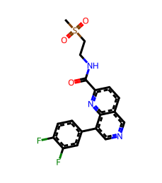 CS(=O)(=O)CCNC(=O)c1ccc2cncc(-c3ccc(F)c(F)c3)c2n1